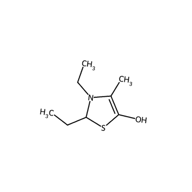 CCC1SC(O)=C(C)N1CC